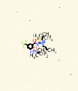 CCCCn1nc(C(C)(C)C)sc1=NC(=O)c1cc(C(F)(F)F)ccc1ONC(C)(C)C